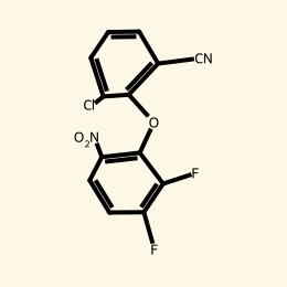 N#Cc1cccc(Cl)c1Oc1c([N+](=O)[O-])ccc(F)c1F